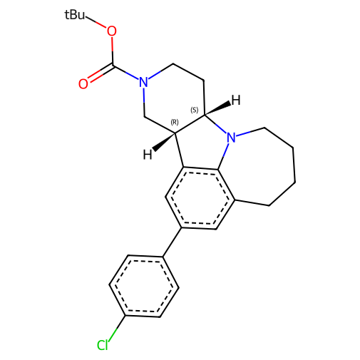 CC(C)(C)OC(=O)N1CC[C@H]2[C@@H](C1)c1cc(-c3ccc(Cl)cc3)cc3c1N2CCCC3